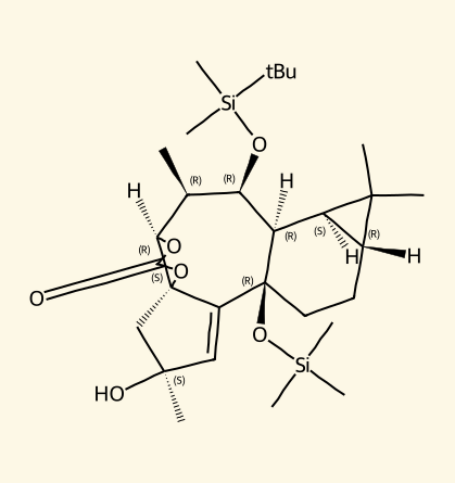 C[C@H]1[C@@H](O[Si](C)(C)C(C)(C)C)[C@H]2[C@@H]3[C@@H](CC[C@]2(O[Si](C)(C)C)C2=C[C@@](C)(O)C[C@]24OC(=O)O[C@H]14)C3(C)C